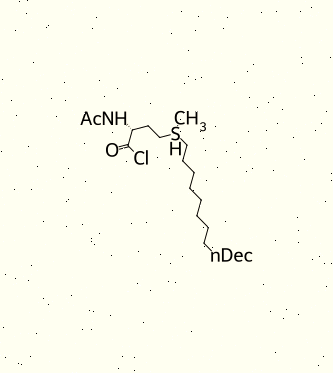 CCCCCCCCCCCCCCCCCC[SH](C)CC[C@@H](NC(C)=O)C(=O)Cl